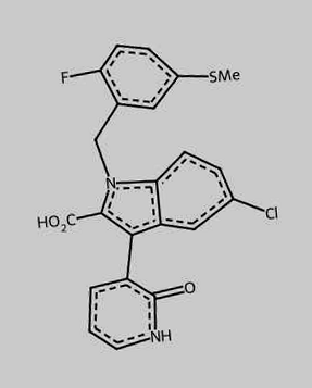 CSc1ccc(F)c(Cn2c(C(=O)O)c(-c3ccc[nH]c3=O)c3cc(Cl)ccc32)c1